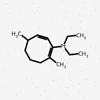 C[CH2][Pt]([CH2]C)[C]1=C(C)CCCC(C)C=C1